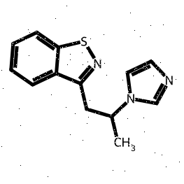 CC(Cc1nsc2ccccc12)n1ccnc1